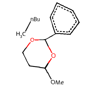 CCCCC.COC1CCOC(c2ccccc2)O1